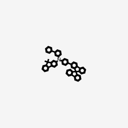 CC1(C)c2ccccc2-c2ccc(N(c3ccc(-c4ccc5c(c4)C4(c6ccccc6-c6ccccc64)c4ccccc4-5)cc3)c3cccc(-c4ccccc4)c3)cc21